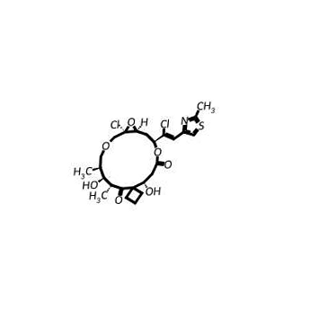 Cc1nc(C=C(Cl)[C@@H]2C[C@@H]3O[C@]3(Cl)COC[C@H](C)[C@H](O)[C@@H](C)C(=O)C3(CCC3)[C@@H](O)CC(=O)O2)cs1